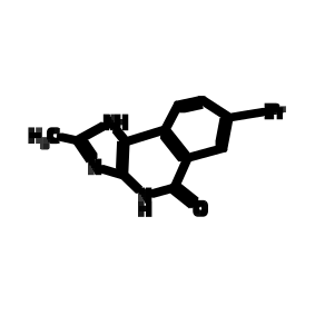 Cc1nc2[nH]c(=O)c3cc(C(C)C)ccc3c2[nH]1